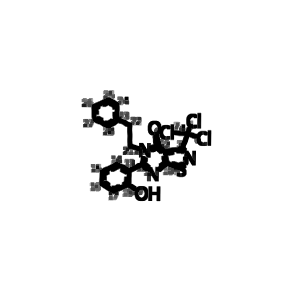 O=c1c2c(C(Cl)(Cl)Cl)nsc2nc(-c2ccccc2O)n1CCc1ccccc1